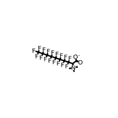 C[N+](C)(C)C(C(=O)[O-])C(F)(F)C(F)(F)C(F)(F)C(F)(F)C(F)(F)C(F)(F)C(F)(F)C(F)(F)F